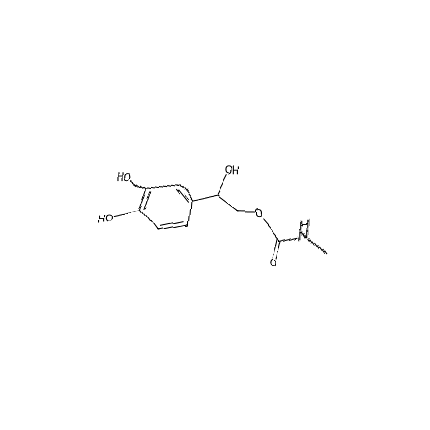 CNC(=O)OCC(O)c1ccc(O)c(O)c1